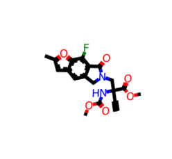 C#CC(CN1Cc2cc3cc(C)oc3c(F)c2C1=O)(NC(=O)OC)C(=O)OC